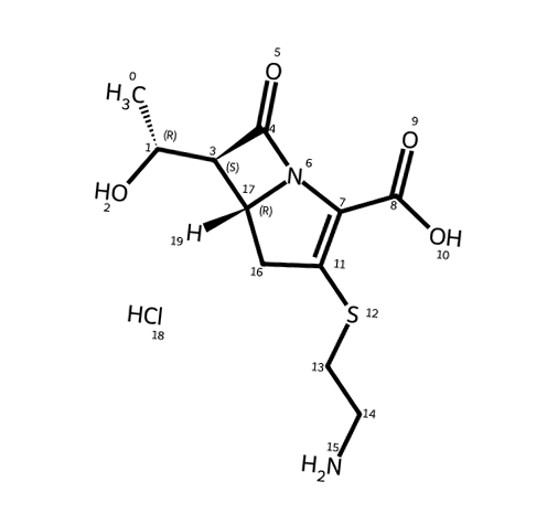 C[C@@H](O)[C@H]1C(=O)N2C(C(=O)O)=C(SCCN)C[C@H]12.Cl